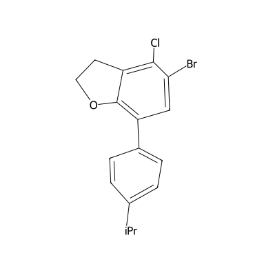 CC(C)c1ccc(-c2cc(Br)c(Cl)c3c2OCC3)cc1